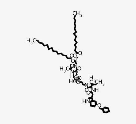 CCCCCCCCCCCCCCCC(=O)OC[C@H](CNC(=O)[C@@H](COP(=O)(O)OCCNC(=O)[C@@H](NC(=O)Cc1c[nH]c2ccc(OCc3ccccc3)cc12)[C@@H](C)CC)NC(C)=O)OC(=O)CCCCCCCCCCCCCCC